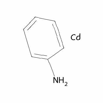 Nc1ccccc1.[Cd]